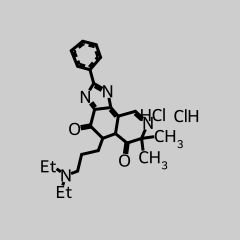 CCN(CC)CCCC1C(=O)C2=NC(c3ccccc3)=NC2=C2C=NC(C)(C)C(=O)C21.Cl.Cl